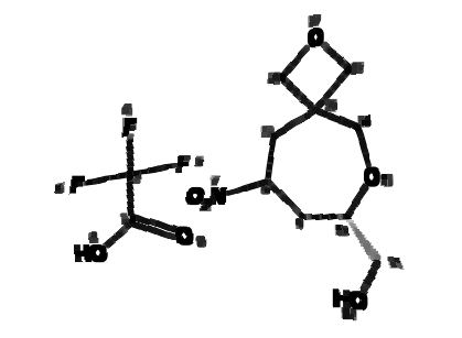 O=C(O)C(F)(F)F.O=[N+]([O-])C1C[C@@H](CO)OCC2(COC2)C1